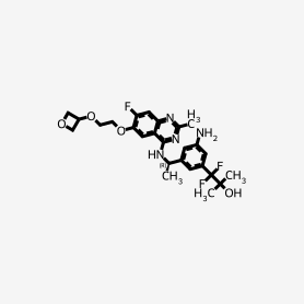 Cc1nc(N[C@H](C)c2cc(N)cc(C(F)(F)C(C)(C)O)c2)c2cc(OCCOC3COC3)c(F)cc2n1